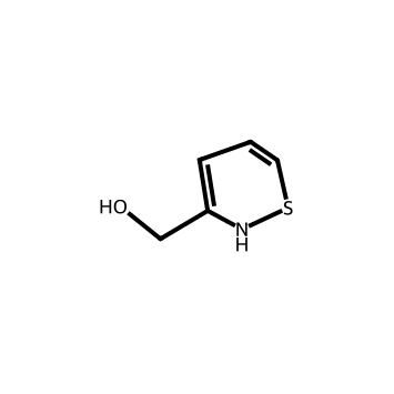 OCC1=CC=CSN1